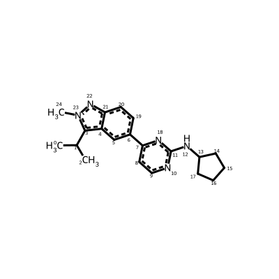 CC(C)c1c2cc(-c3ccnc(NC4CCCC4)n3)ccc2nn1C